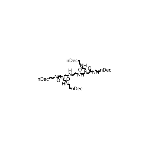 CCCCCCCCCCCCNC(=O)CN(CCNCCNCCN(CC(=O)NCCCCCCCCCCCC)CC(=O)NCCCCCCCCCCCC)CC(=O)NCCCCCCCCCCCC